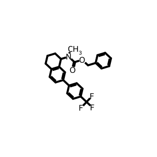 CN(C(=O)OCc1ccccc1)C1CCCc2ccc(-c3ccc(C(F)(F)F)cc3)cc21